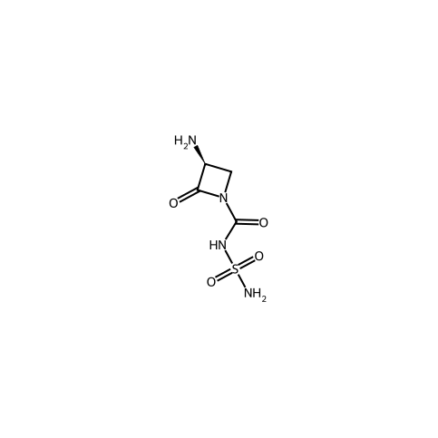 N[C@H]1CN(C(=O)NS(N)(=O)=O)C1=O